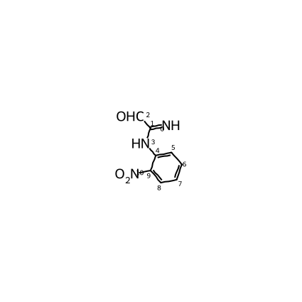 N=C(C=O)Nc1ccccc1[N+](=O)[O-]